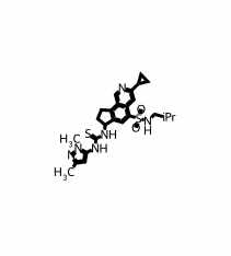 Cc1cc(NC(=S)NC2CCc3c2cc(S(=O)(=O)NCC(C)C)c2cc(C4CC4)ncc32)n(C)n1